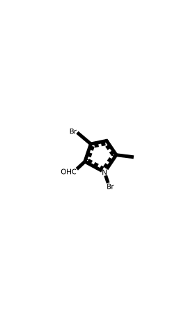 Cc1cc(Br)c(C=O)n1Br